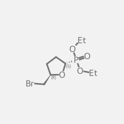 CCOP(=O)(OCC)[C@H]1CC[C@H](CBr)O1